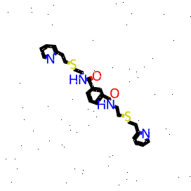 O=C(NCCSCCc1ccccn1)c1cccc(C(=O)NCCSCCc2ccccn2)c1